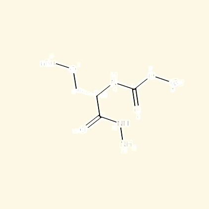 CCCCOC[C@H](NC(=O)OC(C)(C)C)C(=O)NN